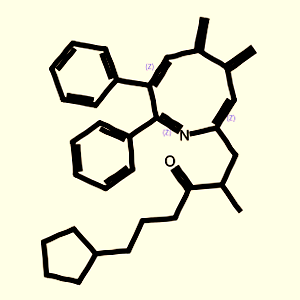 C=C1\C=C(CC(C)C(=O)CCCC2CCCC2)/N=C(c2ccccc2)\C(c2ccccc2)=C/C1=C